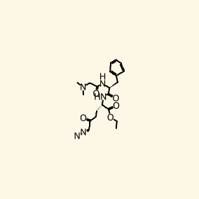 CCOC(=O)[C@H](CCC(=O)C=[N+]=[N-])NC(=O)[C@H](Cc1ccccc1)NC(=O)CN(C)C